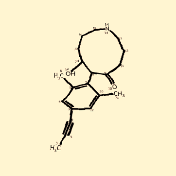 CC#Cc1cc(C)c(C2C(=O)CCCNCCCC2O)c(C)c1